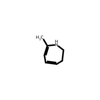 CC1=CC=CCCN1